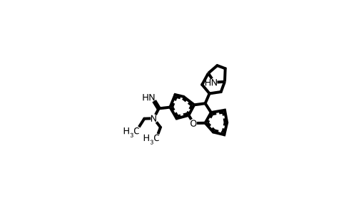 CCN(CC)C(=N)c1ccc2c(c1)Oc1ccccc1C2C1CC2CCC(C1)N2